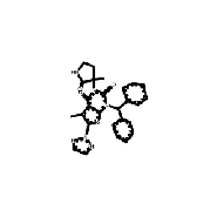 Cc1c(-n2nccn2)sc2c1c(=O)n(C1(C)CCNC1=O)c(=O)n2C(c1ccccc1)c1ccccc1